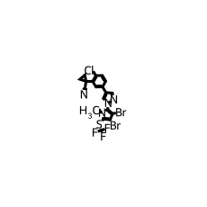 Cn1c(SC(F)(F)F)c(Br)c(Br)c1-n1cc(-c2ccc(Cl)c(C3(C#N)CC3)c2)cn1